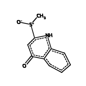 C[S+]([O-])c1cc(=O)c2ccccc2[nH]1